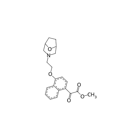 COC(=O)C(=O)c1ccc(OCCN2CC3CCC(C2)O3)c2ccccc12